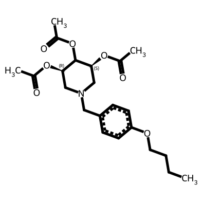 CCCCOc1ccc(CN2C[C@H](OC(C)=O)C(OC(C)=O)[C@H](OC(C)=O)C2)cc1